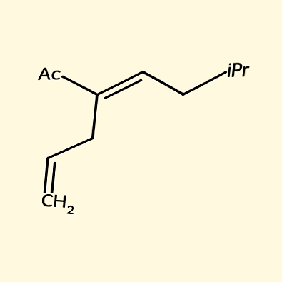 C=CCC(=CCC(C)C)C(C)=O